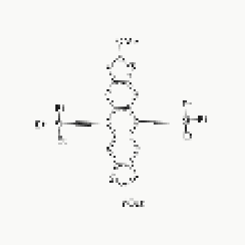 CCCCCCCCc1cc2cc3c(C#C[Si](CC)(CC)CC)c4cc5sc(OC)cc5cc4c(C#C[Si](CC)(CC)CC)c3cc2s1